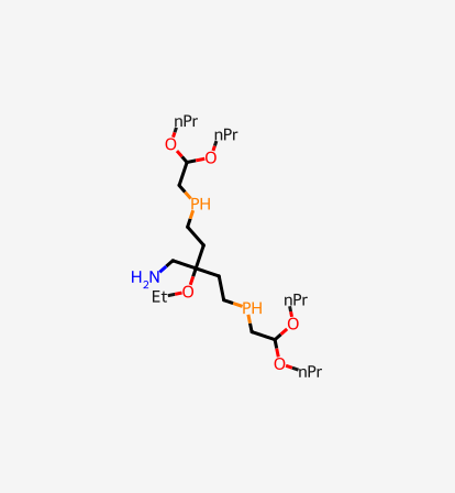 CCCOC(CPCCC(CN)(CCPCC(OCCC)OCCC)OCC)OCCC